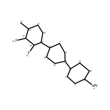 CCCC1CCC(C2CCC(C3CCC(C)C(F)C3F)CC2)CC1